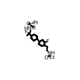 CCC(=O)NCCc1ccc(-c2ccc(C(C)(F)CNS(=O)(=O)C(C)C)cc2)cc1F